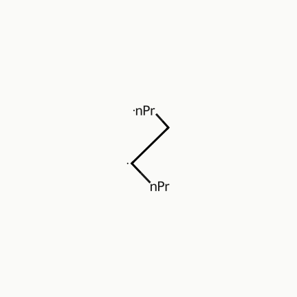 [CH2]C[CH]C[CH]C[CH]C